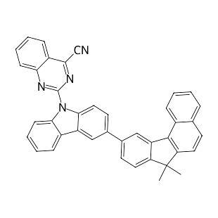 CC1(C)c2ccc(-c3ccc4c(c3)c3ccccc3n4-c3nc(C#N)c4ccccc4n3)cc2-c2c1ccc1ccccc21